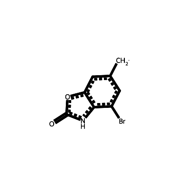 [CH2]c1cc(Br)c2[nH]c(=O)oc2c1